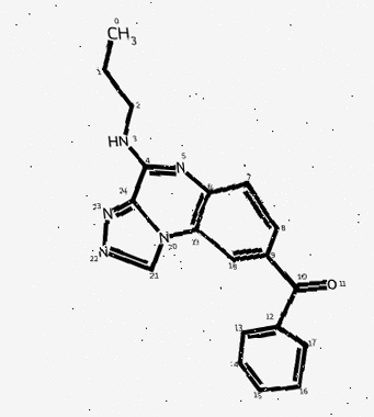 CCCNc1nc2ccc(C(=O)c3ccccc3)cc2n2cnnc12